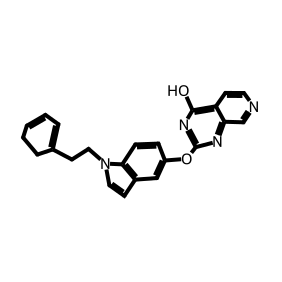 Oc1nc(Oc2ccc3c(ccn3CCC3=CC=CCC3)c2)nc2cnccc12